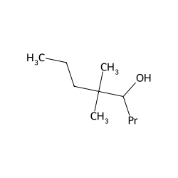 CCCC(C)(C)[CH](O)[Pr]